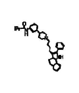 CC(C)C(=O)Nc1cccc(C2CCN(CCCCc3c(-c4ccccc4)[nH]c4c3ccc3ccccc34)CC2)c1